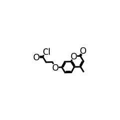 Cc1cc(=O)oc2cc(OCCC(=O)Cl)ccc12